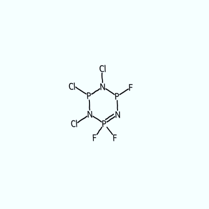 FP1N=P(F)(F)N(Cl)P(Cl)N1Cl